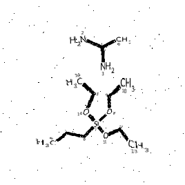 CC(N)N.CCC[Si](OCC)(OCC)OCC